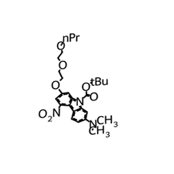 CCCOCCOCCOc1cc([N+](=O)[O-])c2c3ccc(N(C)C)cc3n(C(=O)OC(C)(C)C)c2c1